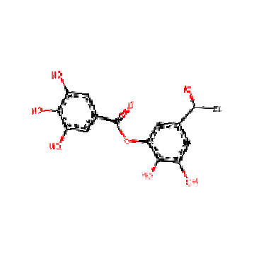 CCC(O)c1cc(O)c(O)c(OC(=O)c2cc(O)c(O)c(O)c2)c1